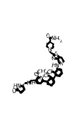 COc1nc(-c2cccc(-c3cccc(Nc4nccc5sc(CN6CCC(C(N)=O)CC6)nc45)c3Cl)c2Cl)ccc1CNC[C@@H]1CCC(=O)N1